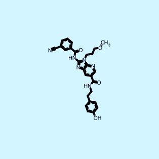 COCCCn1c(NC(=O)c2cccc(C#N)c2)nc2cc(C(=O)NCCc3ccc(O)cc3)cnc21